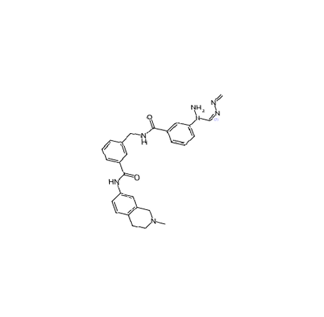 C=N/N=C\N(N)c1cccc(C(=O)NCc2cccc(C(=O)Nc3ccc4c(c3)CN(C)CC4)c2)c1